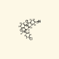 CC(=O)N(c1ccc(Cl)cc1)[C@@H]1C[C@H](C)N(C(=O)c2ccc(C#N)cc2)c2ccccc21